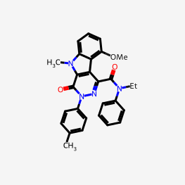 CCN(C(=O)c1nn(-c2ccc(C)cc2)c(=O)c2c1c1c(OC)cccc1n2C)c1ccccc1